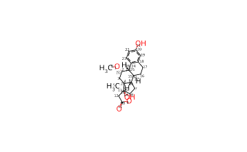 CO[C@H]1C[C@@]2(C)[C@@H](CC3OC(=O)C[C@@]32O)[C@@H]2CCc3cc(O)ccc3[C@H]21